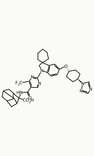 O=C(NC1(C(=O)O)C2CC3CC(C2)CC1C3)c1cnc(N2CC3(CCCCC3)c3cc(O[C@H]4CC[C@H](n5cncn5)CC4)ccc32)nc1C(F)(F)F